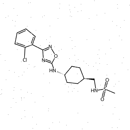 CS(=O)(=O)NC[C@H]1CC[C@H](Nc2nc(-c3ccccc3Cl)no2)CC1